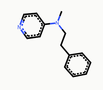 CN(CCc1ccccc1)c1ccncc1